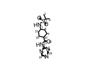 CC(C)S(=O)(=O)NC1CCC(C(=O)Nc2ncncn2)CC1